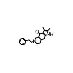 Cc1[nH]c2c(c1C)C(=O)C1CN(CCc3ccccc3)CCC1C2